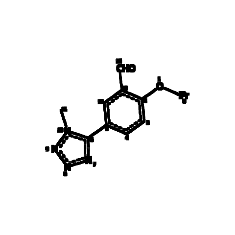 CC(C)Oc1ccc(-c2nnnn2C)cc1C=O